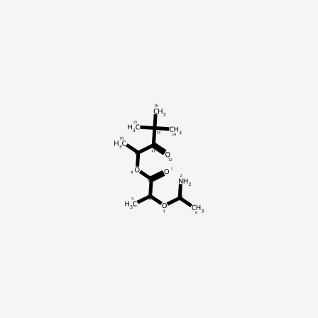 CC(N)OC(C)C(=O)OC(C)C(=O)C(C)(C)C